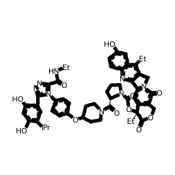 CCNC(=O)c1nnc(-c2cc(C(C)C)c(O)cc2O)n1-c1ccc(OC2CCN(C(=O)[C@@H]3CCCN3C(=O)O[C@]3(CC)C(=O)OCc4c3cc3n(c4=O)Cc4c-3nc3ccc(O)cc3c4CC)CC2)cc1